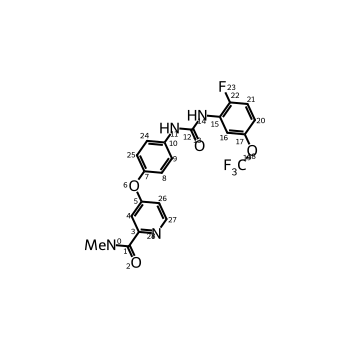 CNC(=O)c1cc(Oc2ccc(NC(=O)Nc3cc(OC(F)(F)F)ccc3F)cc2)ccn1